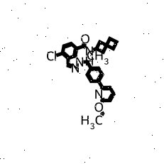 CCOc1cccc(-c2ccc(C(C)n3ncc4c(Cl)ccc(C(=O)NC5CC6(CCC6)C5)c43)cc2)n1